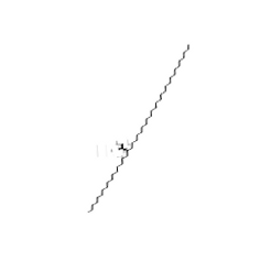 CCCCCCCCCCCCCCCCCCCCCCCCCCC(CCCCCCCCCCCCCCCC)C(=O)O